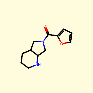 O=C(c1ccco1)N1CC2CCCNC2C1